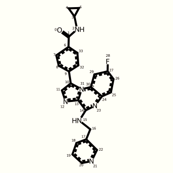 O=C(NC1CC1)c1ccc(-c2cnc3c(NCc4cccnc4)nc4ccc(F)cc4n23)cc1